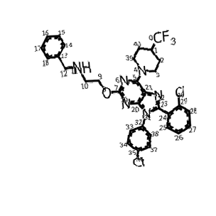 FC(F)(F)C1CCN(c2nc(OCCNCc3ccccc3)nc3c2nc(-c2ccccc2Cl)n3-c2ccc(Cl)cc2)CC1